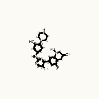 CC(C)N1CC(=O)Cc2c(F)cc(-c3nc(Nc4ccc(N5CCNCC5)c(C#N)c4)ncc3F)cc21